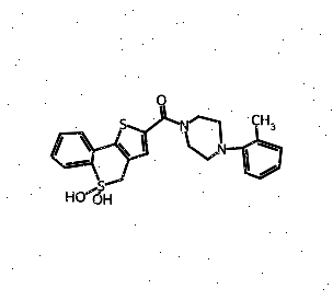 Cc1ccccc1N1CCN(C(=O)c2cc3c(s2)-c2ccccc2S(O)(O)C3)CC1